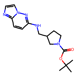 CC(C)(C)OC(=O)N1CCC(CNc2ccc3nccn3n2)C1